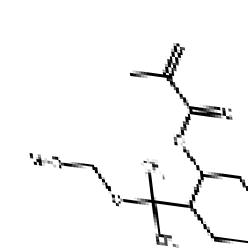 C=C(C)C(=O)OC1CCCCC1C(OCOC)(C(F)(F)F)C(F)(F)F